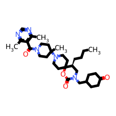 CCCC[C@H]1CN(CC2CCC(=O)CC2)C(=O)OC12CCN(C1(C)CCN(C(=O)c3c(C)ncnc3C)CC1)CC2